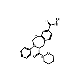 O=C(NO)c1ccc2c(c1)OC[C@H](c1ccccc1)N(C(=O)[C@@H]1CCCCO1)C2